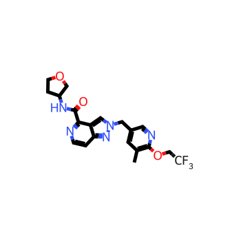 Cc1cc(Cn2cc3c(C(=O)NC4CCOC4)nccc3n2)cnc1OCC(F)(F)F